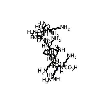 N=C(N)NCC/C=C(\NC(=O)[C@H](CCCCN)NC(=O)[C@H](Cc1cnc[nH]1)NC(=O)[C@@H]1CCCN1C(=O)[C@@H](CCCN)NC(=O)CNC(=O)[C@@H](NC(=O)[C@@H](NC(=O)[C@@H](N)CCCCN)[C@@H](O)CN)[C@@H](O)CN)C(=O)N[C@@H](CCCCN)C(=O)O